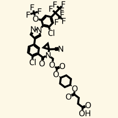 N#CC1(N(COC(=O)O[C@H]2CC[C@@H](OC(=O)CCC(=O)O)CC2)C(=O)c2cc(-c3cnn(-c4c(Cl)cc(C(F)(C(F)(F)F)C(F)(F)F)cc4OC(F)(F)F)c3)ccc2Cl)CC1